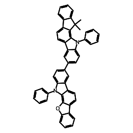 CC1(C)c2ccccc2-c2ccc3c4cc(-c5ccc6c(c5)c5ccc7c8ccccc8oc7c5n6-c5ccccc5)ccc4n(-c4ccccc4)c3c21